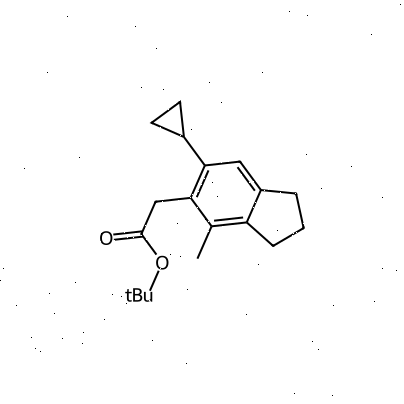 Cc1c2c(cc(C3CC3)c1CC(=O)OC(C)(C)C)CCC2